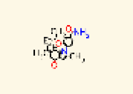 C=CC(CC)Oc1cc(C(N)=O)ccc1-n1c(C)cc2c1CC(C)(C)CC2=O